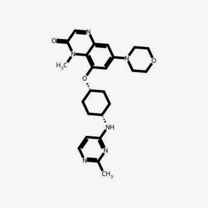 Cc1nccc(N[C@H]2CC[C@@H](Oc3cc(N4CCOCC4)cc4ncc(=O)n(C)c34)CC2)n1